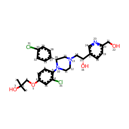 CC(C)(O)COc1ccc(N2CCN(C[C@@H](O)c3ccc(CO)nc3)C[C@H]2c2ccc(Cl)cc2)c(Cl)c1